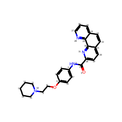 O=C(Nc1ccc(OCCN2CCCCC2)cc1)c1ccc2ccc3cccnc3c2n1